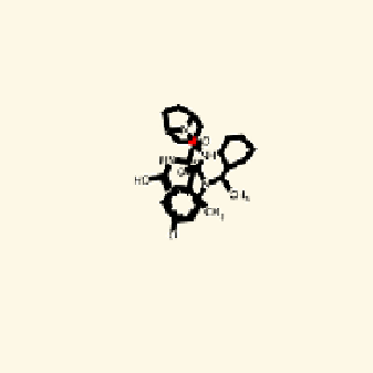 CCN(C(=O)NC1CC2CCC(C1)N2C(=O)[C@@H](Cc1ccc(Cl)cc1)NC(=O)O)C(C)C1CCCCC1